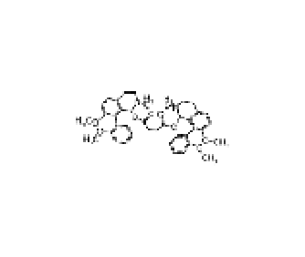 COc1ccccc1-c1c(OC)ccc2c1C(OC(=O)/C=C\C(=O)OC1c3c(ccc(OC)c3-c3ccccc3OC)CCN1C)N(C)CC2